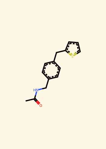 CC(=O)NCc1ccc(Cc2cccs2)cc1